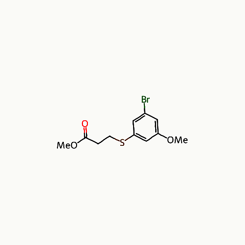 COC(=O)CCSc1cc(Br)cc(OC)c1